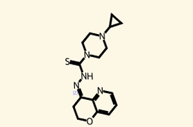 S=C(N/N=C1/CCOc2cccnc21)N1CCN(C2CC2)CC1